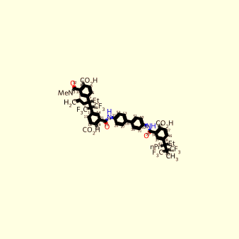 C=CCC(CC)(c1ccc(C(=O)O)c(C(=O)NC)c1)C(c1ccc(C(=O)O)c(C(=O)Nc2ccc(-c3ccc(NC(=O)c4cc(C(CC)(CCC)C(C)(C(F)(F)F)C(F)(F)F)ccc4C(=O)O)cc3)cc2)c1)(C(F)(F)F)C(F)(F)F